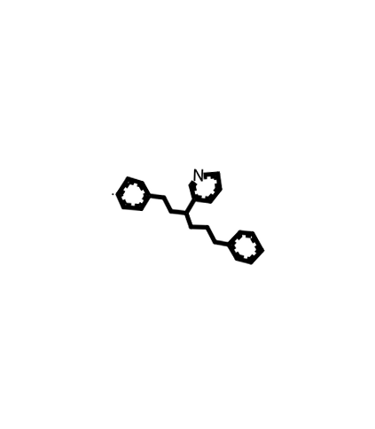 [c]1ccc(CCC(CCCc2ccccc2)c2cccnc2)cc1